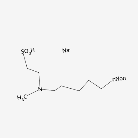 CCCCCCCCCCCCCCN(C)CCS(=O)(=O)O.[Na]